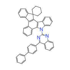 c1ccc(-c2ccc(-c3nc(-n4c5ccccc5c5c6c(c7ccccc7c54)-c4ccccc4C64CCCCC4)nc4ccccc34)cc2)cc1